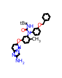 Cc1ccc(Oc2ccc3nc(N)cn3n2)cc1N(C(=O)NC(C)(C)C)c1cccc(OCc2ccccc2)c1